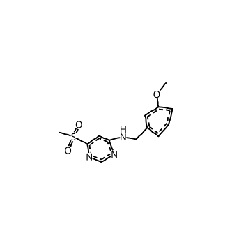 COc1cccc(CNc2cc(S(C)(=O)=O)ncn2)c1